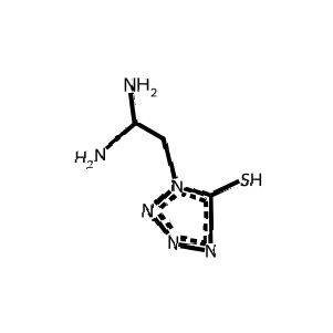 NC(N)Cn1nnnc1S